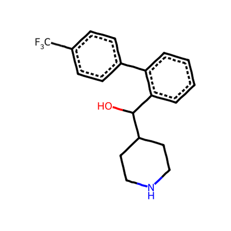 OC(c1ccccc1-c1ccc(C(F)(F)F)cc1)C1CCNCC1